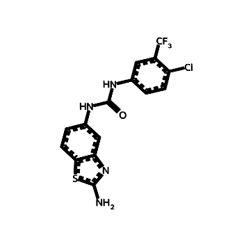 Nc1nc2cc(NC(=O)Nc3ccc(Cl)c(C(F)(F)F)c3)ccc2s1